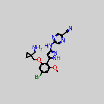 COc1cc(Br)cc(OCC2(CN)CC2)c1-c1cc(Nc2cnc(C#N)cn2)n[nH]1